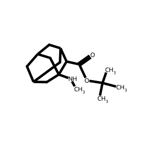 CNC12CC3CC(CC(C3)C1C(=O)OC(C)(C)C)C2